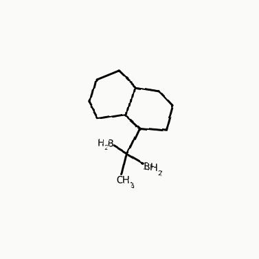 BC(B)(C)C1CCCC2CCCCC21